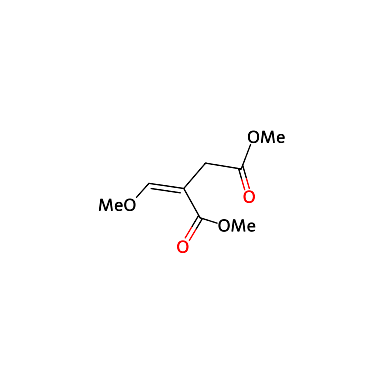 COC=C(CC(=O)OC)C(=O)OC